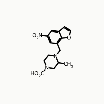 CC1CN(C(=O)O)CCN1Cc1cc([N+](=O)[O-])cc2ccoc12